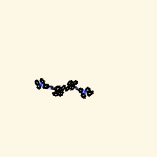 C(=C\c1ccc2c(c1)c1ccccc1n2-c1cccc2ccccc12)/c1ccc2c(c1)C1(c3ccccc3-c3ccccc31)c1cc(-c3ccc4c(c3)C3(c5ccccc5-c5ccccc53)c3cc(/C=C/c5ccc6c(c5)c5ccccc5n6-c5cccc6ccccc56)ccc3-4)ccc1-2